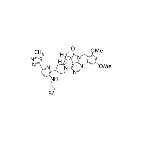 COc1ccc(CN2C(=O)C(C)(C)c3c(N4CCC(c5nc(-c6nnc(C)s6)ccc5NCCBr)CC4)ncnc32)c(OC)c1